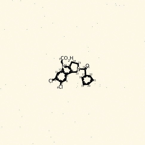 O=C(O)Cn1c2c(c3cc(Cl)c(Cl)cc31)CN(C(=O)c1ccccc1)CC2